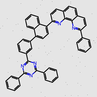 c1ccc(-c2ccc3ccc4ccc(-c5ccc(-c6cccc(-c7nc(-c8ccccc8)nc(-c8ccccc8)n7)c6)c6ccccc56)nc4c3n2)cc1